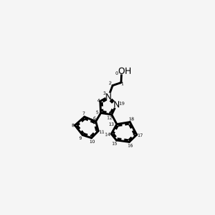 OCCn1cc(-c2ccccc2)c(-c2ccccc2)n1